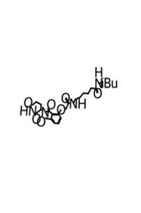 CCC(C)NC(=O)CCCCCNC(=O)COc1cccc2c1C(=O)N(C1CCC(=O)NC1=O)C2=O